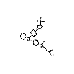 O=C(O)CCNC(=O)c1ccc(NC(c2ccc(-n3cc(C(F)(F)F)cn3)cc2)C2CCCCC2)nc1